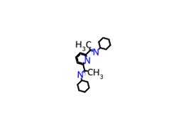 C/C(=N\C1CCCCC1)c1cccc(/C(C)=N/C2CCCCC2)n1